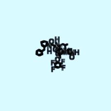 CC(C)C[C@H](NC(=O)C(=O)Nc1ccccc1Cc1ccccc1)C(=O)N[C@@H](C[C@@H]1CCNC1=O)C(=O)COc1c(F)c(F)cc(F)c1F